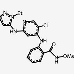 CCn1nccc1Nc1cc(Nc2ccccc2C(=O)NOC)c(Cl)cn1